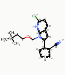 C[Si](C)(C)CCOCn1c(-c2ccccc2C#N)cc2ccc(Cl)nc21